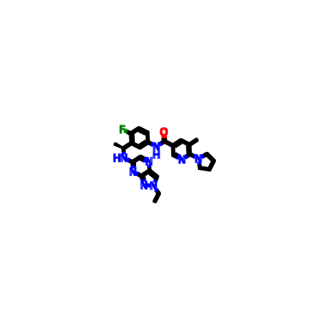 CCn1cc2ncc(N[C@@H](C)c3cc(NC(=O)c4cnc(N5CCCC5)c(C)c4)ccc3F)nc2n1